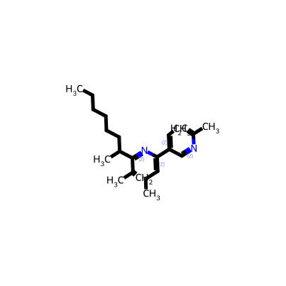 C=C(C)\N=C/C(=C\C)C(=C/CC)/N=C(\C(=C)C)C(C)CCCCCC